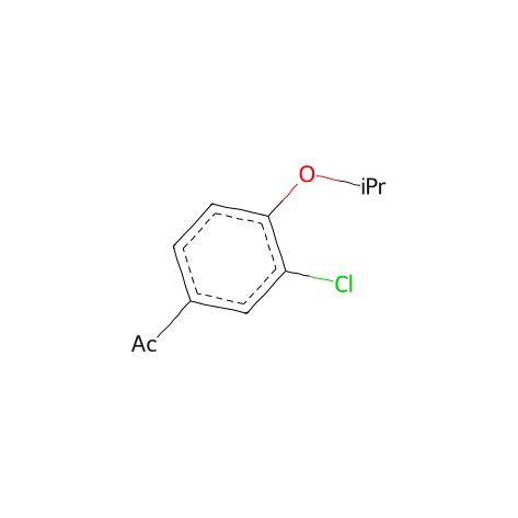 CC(=O)c1ccc(OC(C)C)c(Cl)c1